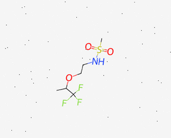 CC(OCCNS(C)(=O)=O)C(F)(F)F